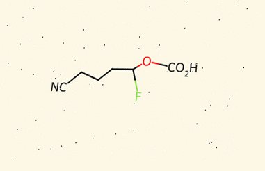 N#CCCCC(F)OC(=O)O